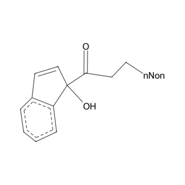 CCCCCCCCCCCC(=O)C1(O)C=Cc2ccccc21